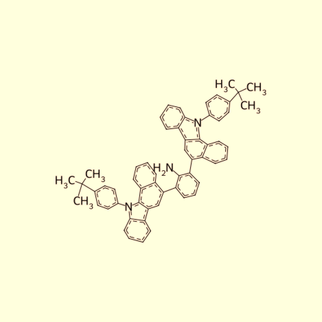 CC(C)(C)c1ccc(-n2c3ccccc3c3cc(-c4cccc(-c5cc6c7ccccc7n(-c7ccc(C(C)(C)C)cc7)c6c6ccccc56)c4N)c4ccccc4c32)cc1